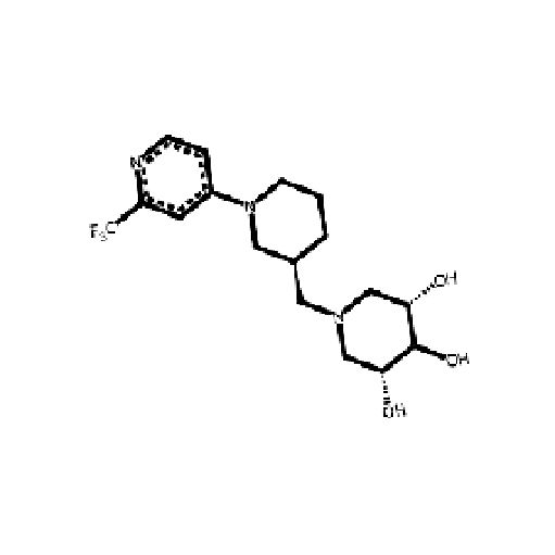 OC1[C@H](O)CN(C[C@@H]2CCCN(c3ccnc(C(F)(F)F)c3)C2)C[C@@H]1O